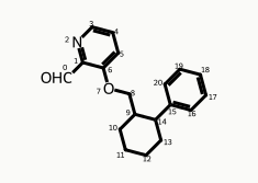 O=Cc1ncccc1OCC1CCCCC1c1ccccc1